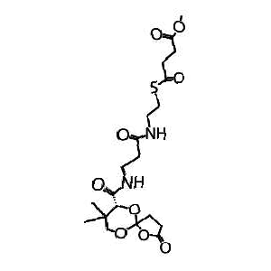 COC(=O)CCC(=O)SCCNC(=O)CCNC(=O)[C@@H]1OC2(CCC(=O)O2)OCC1(C)C